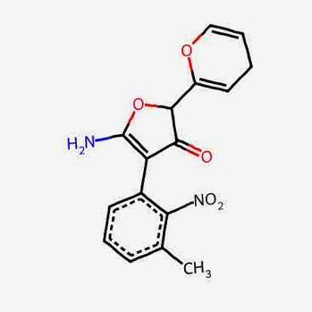 Cc1cccc(C2=C(N)OC(C3=CCC=CO3)C2=O)c1[N+](=O)[O-]